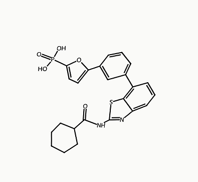 O=C(Nc1nc2cccc(-c3cccc(-c4ccc(P(=O)(O)O)o4)c3)c2s1)C1CCCCC1